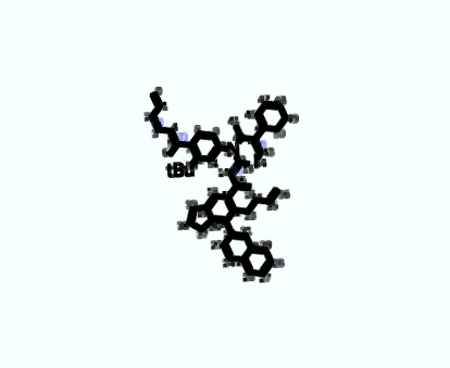 C=C/C=C\C=C(/C)c1ccc(N(/C(C)=C/C(=C)c2cc3c(c(-c4ccc5ccccc5c4)c2CCC=C)CC=C3)C(C)/C(=C\I)C2=CC=CCC2)cc1C(C)(C)C